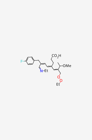 CC\N=C/C(=C\C=C(\C=C(\COOCC)C(C)OC)CCC(=O)O)Cc1ccc(F)cc1